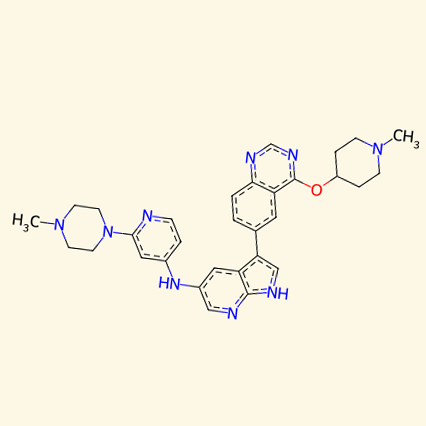 CN1CCC(Oc2ncnc3ccc(-c4c[nH]c5ncc(Nc6ccnc(N7CCN(C)CC7)c6)cc45)cc23)CC1